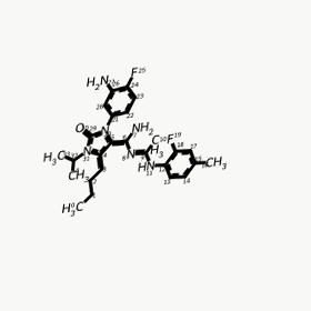 CCC/C=c1/c(=C(N)\N=C(/C)Nc2ccc(C)cc2F)n(-c2ccc(F)c(N)c2)c(=O)n1C(C)C